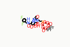 CC(C)OC(=O)OCOP(CCCN1C(=O)c2c(O)c(=O)c(C(=O)NCc3ccc(F)cc3F)cn2N(C)C12CCOC2)OCOC(=O)OC(C)C